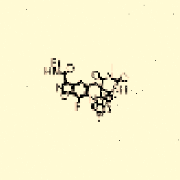 CCNC(=O)c1noc2c(F)c3c(cc12)CC1(C(=O)NC(=O)NC1=O)[C@H]1[C@H](C)O[C@H](C)CN31